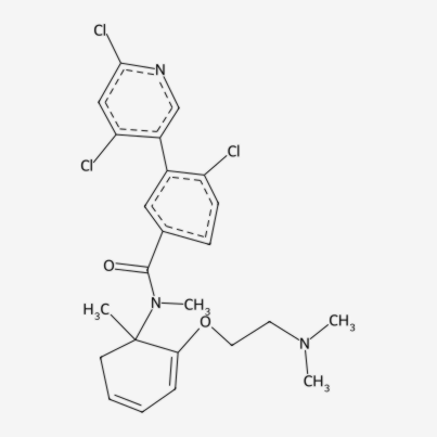 CN(C)CCOC1=CC=CCC1(C)N(C)C(=O)c1ccc(Cl)c(-c2cnc(Cl)cc2Cl)c1